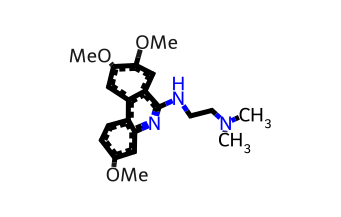 COc1ccc2c(c1)nc(NCCN(C)C)c1cc(OC)c(OC)cc12